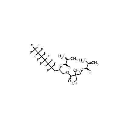 C=C(C)C(=O)OCC(C)(CO)C(=O)OCC(CC(F)(F)C(F)(F)C(F)(F)C(F)(F)C(F)(F)C(F)(F)F)OC(=O)C(=C)C